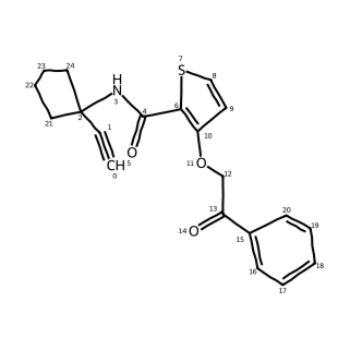 C#CC1(NC(=O)c2sccc2OCC(=O)c2ccccc2)CCCC1